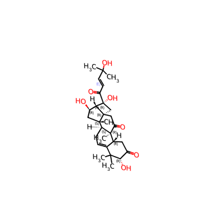 CC(C)(O)/C=C/C(=O)[C@@]1(O)C[C@]23CC(=O)[C@@]4(C)[C@@H]5CC(=O)[C@H](O)C(C)(C)C5=CC[C@H]4[C@]2(C)C[C@@H](O)[C@@H]31